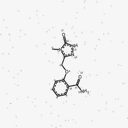 Cn1c(COc2ccccc2C(N)=O)n[nH]c1=O